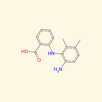 Cc1ccc(N)c(Nc2ccccc2C(=O)O)c1C